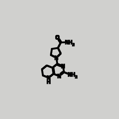 NC(=O)C1CCN(c2nc(N)nc3c2CCCN3)C1